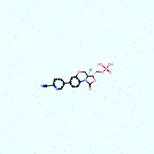 N#Cc1ccc(-c2ccc3c(c2)OC[C@H]2[C@H](COP(=O)(O)O)OC(=O)N32)cn1